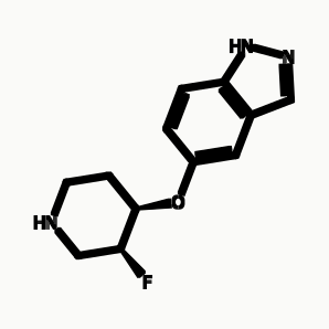 F[C@H]1CNCC[C@H]1Oc1ccc2[nH]ncc2c1